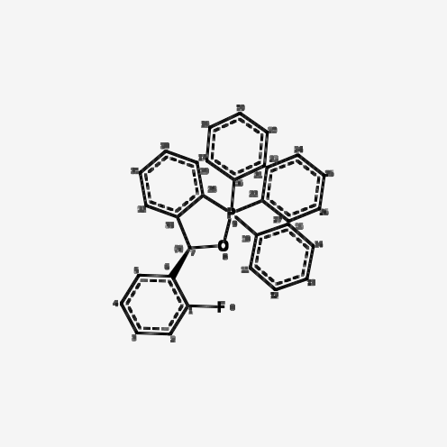 Fc1ccccc1[C@@H]1OP(c2ccccc2)(c2ccccc2)(c2ccccc2)c2ccccc21